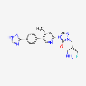 Cc1cc(-n2cnn(C/C(=C/F)CN)c2=O)ncc1-c1ccc(-c2nc[nH]n2)cc1